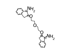 N[C@H]1c2ccccc2C[C@H]1OCCOCCO[C@@H]1Cc2ccccc2[C@@H]1N